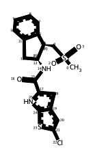 CS(=O)(=O)C[C@@H]1c2ccccc2C[C@H]1NC(=O)c1cc2cc(Cl)sc2[nH]1